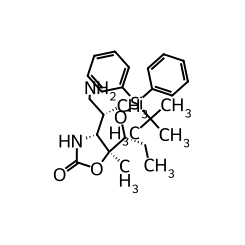 CC[C@@H](O[Si](c1ccccc1)(c1ccccc1)C(C)(C)C)[C@@]1(C)OC(=O)N[C@@H]1[C@@H](C)CN